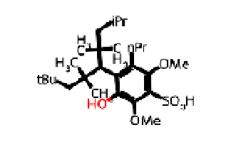 CCCc1c(OC)c(S(=O)(=O)O)c(OC)c(O)c1C(C(C)(C)CC(C)C)C(C)(C)CC(C)(C)C